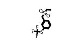 CCS(=O)(=O)Cc1cccc(SC(F)(F)F)c1